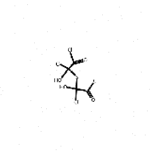 O=C(Cl)C(O)(Cl)SC(O)(Cl)C(=O)Cl